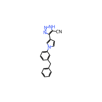 N#Cc1[nH]nnc1-c1ccn(-c2cccc(Cc3ccccc3)c2)c1